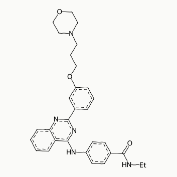 CCNC(=O)c1ccc(Nc2nc(-c3cccc(OCCCN4CCOCC4)c3)nc3ccccc23)cc1